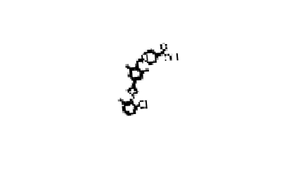 Cc1cc(C2CN(c3c(C)cccc3Cl)C2)cc(C)c1CN1CCC(C(=O)O)CC1